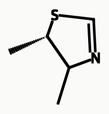 CC1N=CS[C@H]1C